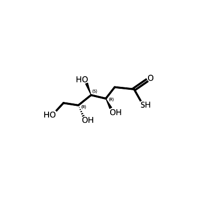 O=C(S)C[C@@H](O)[C@H](O)[C@H](O)CO